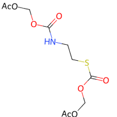 CC(=O)OCOC(=O)NCCSC(=O)OCOC(C)=O